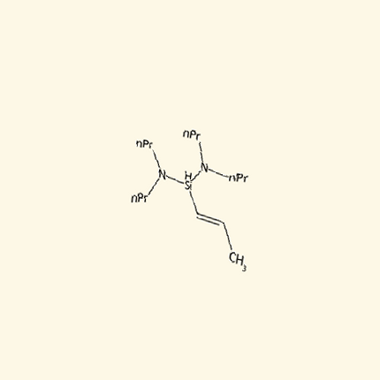 CC=C[SiH](N(CCC)CCC)N(CCC)CCC